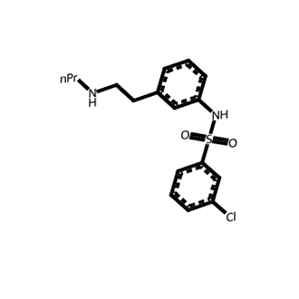 CCCNCCc1cccc(NS(=O)(=O)c2cccc(Cl)c2)c1